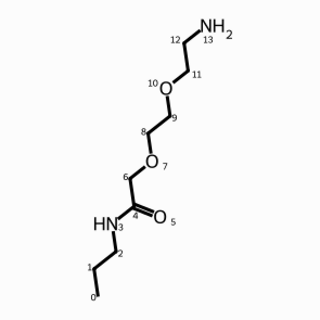 CCCNC(=O)COCCOCCN